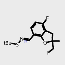 CC1(CI)Cc2c(F)ccc(/C=N/SC(C)(C)C)c2O1